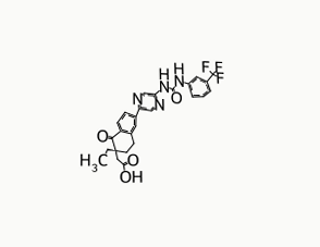 CC[C@]1(CC(=O)O)CCc2cc(-c3cnc(NC(=O)Nc4cccc(C(F)(F)F)c4)cn3)ccc2C1=O